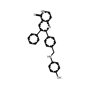 O=c1[nH]ccc2nc(-c3ccc(CNc4ccc(O)cc4)cc3)c(-c3ccccc3)cc12